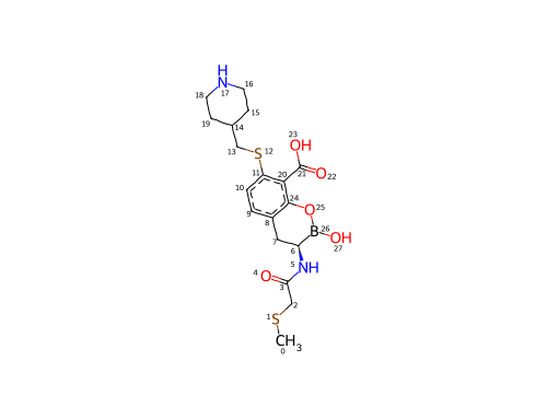 CSCC(=O)N[C@H]1Cc2ccc(SCC3CCNCC3)c(C(=O)O)c2OB1O